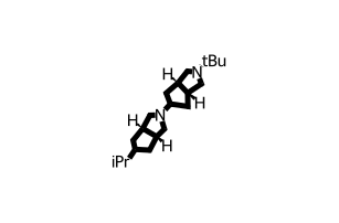 CC(C)C1C[C@H]2CN(C3C[C@H]4CN(C(C)(C)C)C[C@@H]4C3)C[C@@H]2C1